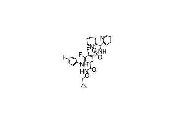 O=C(NOCC1CC1)c1cc(S(=O)(=O)NC(c2ccccn2)c2ccccn2)c(F)c(F)c1Nc1ccc(I)cc1